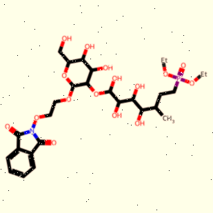 CCOP(=O)(CCC(C)C(O)C(O)C(O)C(O)OC1C(OCCON2C(=O)c3ccccc3C2=O)OC(CO)C(O)C1O)OCC